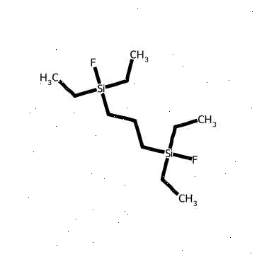 CC[Si](F)(CC)CCC[Si](F)(CC)CC